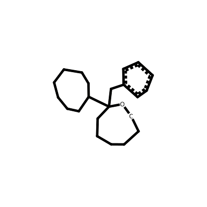 c1ccc(CC2(C3CCCCCCC3)CCCCCCO2)cc1